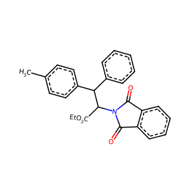 CCOC(=O)C(C(c1ccccc1)c1ccc(C)cc1)N1C(=O)c2ccccc2C1=O